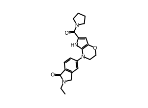 CCN1Cc2cc(N3CCOc4cc(C(=O)N5CCCC5)[nH]c43)ccc2C1=O